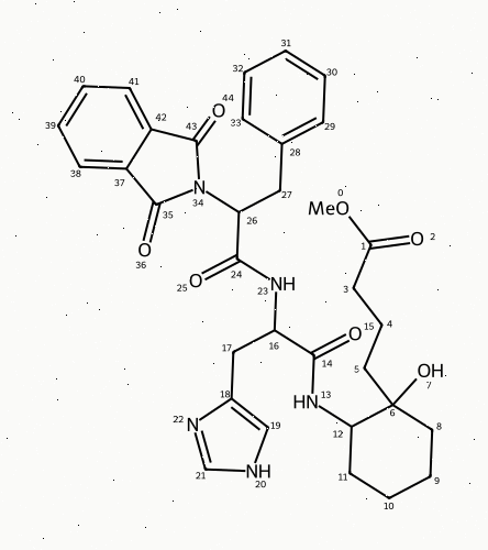 COC(=O)CCCC1(O)CCCCC1NC(=O)C(Cc1c[nH]cn1)NC(=O)C(Cc1ccccc1)N1C(=O)c2ccccc2C1=O